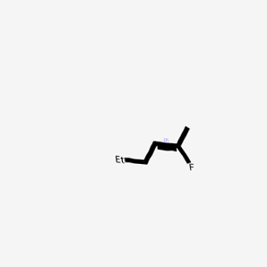 CCC/C=C(/C)F